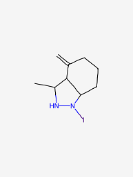 C=C1CCCC2C1C(C)NN2I